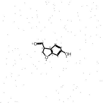 O=CC1COc2cc(O)ccc21